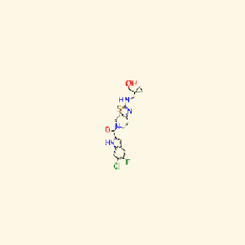 O=C(c1cc2cc(F)c(Cl)cc2[nH]1)N1CCc2nc(NCC3(CO)CC3)sc2C1